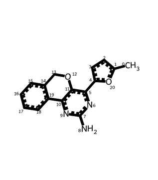 Cc1ccc(-c2nc(N)nc3c2OCc2ccccc2-3)o1